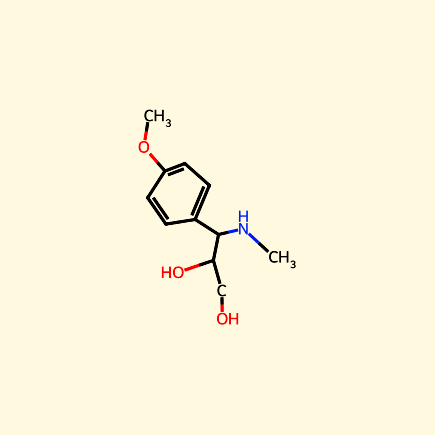 CNC(c1ccc(OC)cc1)C(O)CO